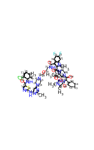 Cc1nc(Nc2ncc(C(=O)Nc3c(C)cccc3Cl)s2)cc(N2CCN(CCOCCNC(=O)c3c(C(=O)N4CCN(C(=O)C(NC(=O)C(C)N(C)C(=O)OC(C)(C)C)C5CCCCC5)CC4)n(C)c4cc(F)c(F)cc34)CC2)n1